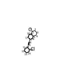 O=C1CCCc2cc(C#Cc3ccccc3Cl)ccc21